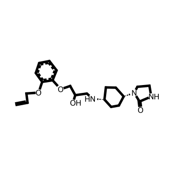 C=CCOc1ccccc1OCC(O)CN[C@H]1CC[C@@H](N2CCNC2=O)CC1